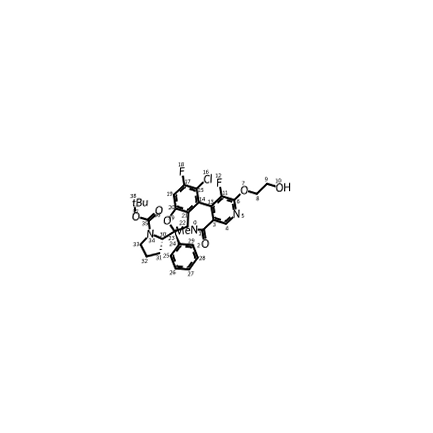 CNC(=O)c1cnc(OCCO)c(F)c1-c1c(Cl)c(F)cc2c1C[C@](c1ccccc1)([C@@H]1CCCN1C(=O)OC(C)(C)C)O2